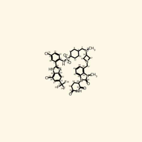 CN(CC1CCC(S(=O)(=O)Nc2ccc(Cl)cc2-c2nc3cc(C(F)(F)F)cc(Cl)c3[nH]2)CC1)C1CN(Cc2cccc3c2n(C)c(=O)n3C2CCC(=O)NC2=O)C1